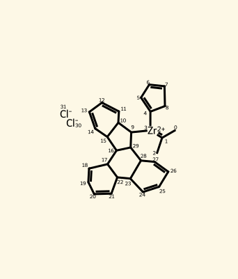 C[C](C)=[Zr+2]([C]1=CC=CC1)[CH]1C2C=CC=CC2C2C3C=CC=CC3C3C=CC=CC3C21.[Cl-].[Cl-]